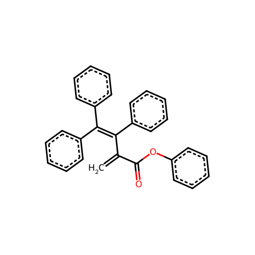 C=C(C(=O)Oc1ccccc1)C(=C(c1ccccc1)c1ccccc1)c1ccccc1